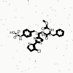 COC(=O)N[C@@H](Cc1ccccc1)C(=O)N[C@@H](Cc1ccc(NS(=O)(=O)O)cc1)c1csc(C2=C(Cl)CCS2)n1